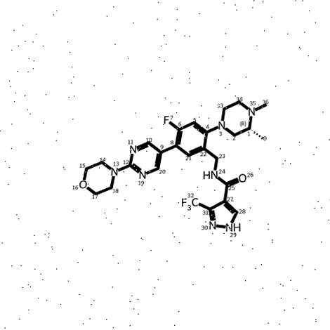 C[C@@H]1CN(c2cc(F)c(-c3cnc(N4CCOCC4)nc3)cc2CNC(=O)c2c[nH]nc2C(F)(F)F)CCN1C